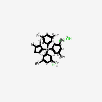 CC(C)C1=[C]([Ti])CC=C1[Si](c1cc(C(C)C)cc(C(C)C)c1)(c1cc(C(C)C)cc(C(C)C)c1)c1cc(C(C)C)cc(C(C)C)c1.Cl.Cl.Cl